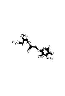 CCC(C)CCOC(=O)COc1nc(F)c(Cl)c(N)c1Cl